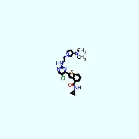 CN(C)[C@H]1CCN(CCNc2ncc(Cl)c(-c3cc4c(C(=O)NC5CC5)cccc4s3)n2)C1